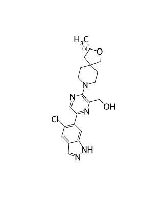 C[C@H]1CC2(CCN(c3ncc(-c4cc5[nH]ncc5cc4Cl)nc3CO)CC2)CO1